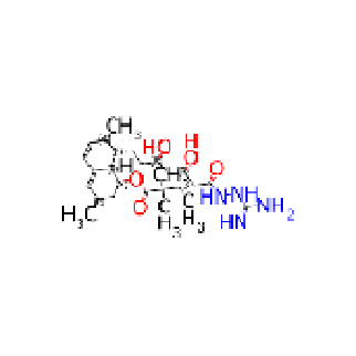 CCC(C)(C)C(=O)O[C@H]1C[C@@H](C)C=C2C=C[C@H](C)[C@H](CC[C@@H](O)C[C@@H](O)CC(=O)NNC(=N)N)[C@H]21